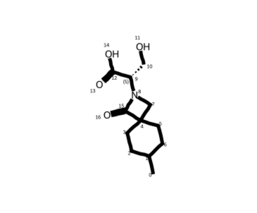 CC1CCC2(CC1)CN([C@@H](CO)C(=O)O)C2=O